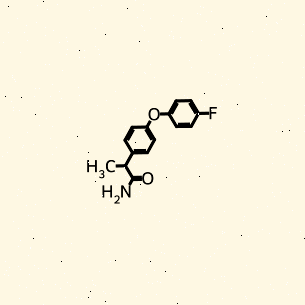 CC(C(N)=O)c1ccc(Oc2ccc(F)cc2)cc1